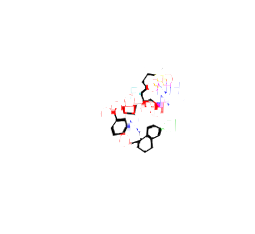 C[C@H]([C@@H](C)C/C=C(\F)C(O)(CC(=O)N(C)C)[C@@H]1OCC[C@H]1CN1C[C@@]2(CCCc3cc(Cl)ccc32)COc2ccc(C(=O)O)cc21)S(N)(=O)=O